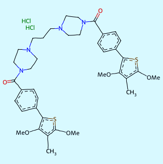 COc1sc(-c2ccc(C(=O)N3CCN(CCCN4CCN(C(=O)c5ccc(-c6sc(OC)c(C)c6OC)cc5)CC4)CC3)cc2)c(OC)c1C.Cl.Cl